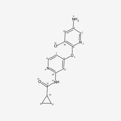 Nc1cnc(Oc2ccnc(NC(=O)C3CC3)c2)c(Cl)c1